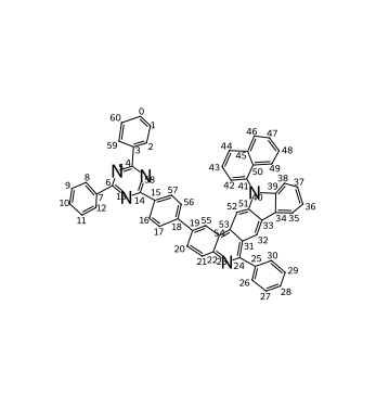 c1ccc(-c2nc(-c3ccccc3)nc(-c3ccc(-c4ccc5nc(-c6ccccc6)c6cc7c8ccccc8n(-c8cccc9ccccc89)c7cc6c5c4)cc3)n2)cc1